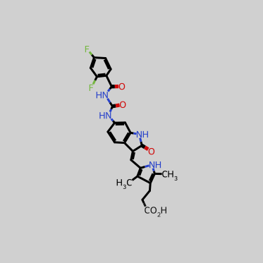 Cc1[nH]c(C=C2C(=O)Nc3cc(NC(=O)NC(=O)c4ccc(F)cc4F)ccc32)c(C)c1CCC(=O)O